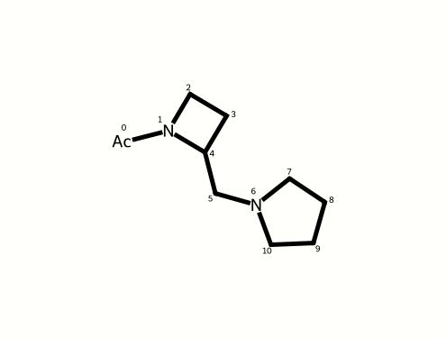 CC(=O)N1CCC1CN1CCCC1